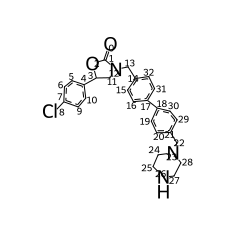 O=C1OC(c2ccc(Cl)cc2)CN1Cc1ccc(-c2ccc(CN3CCNCC3)cc2)cc1